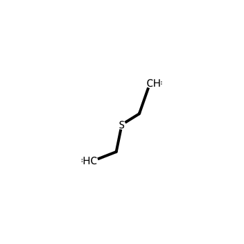 [CH]CSC[CH]